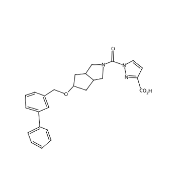 O=C(O)c1ccn(C(=O)N2CC3CC(OCc4cccc(-c5ccccc5)c4)CC3C2)n1